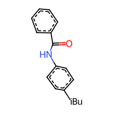 CCC(C)c1ccc(NC(=O)c2ccccc2)cc1